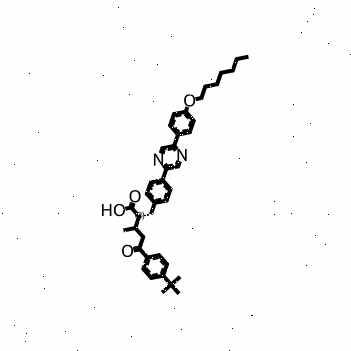 CCCCCCCOc1ccc(-c2cnc(-c3ccc(C[C@@H](C(=O)O)C(C)CC(=O)c4ccc(C(C)(C)C)cc4)cc3)cn2)cc1